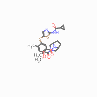 C=CC(=O)N1CC2CCC(C1)N2C(=O)c1cc(Sc2cnc(NC(=O)C3CC3)s2)c(C)cc1OC